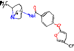 CC1CC2CCN1CC2NC(=O)c1ccc(Oc2cc(C(F)(F)F)co2)cc1